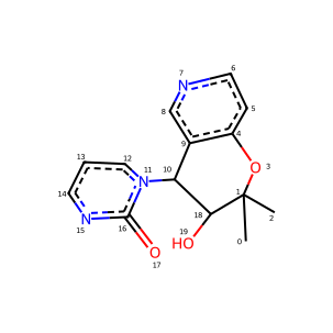 CC1(C)Oc2ccncc2C(n2cccnc2=O)C1O